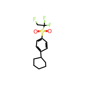 O=S(=O)(c1ccc(C2CCCCC2)cc1)C(F)(F)CF